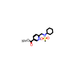 COC(=O)c1ccc(CN(C2CCCCC2)S(C)(=O)=O)nc1